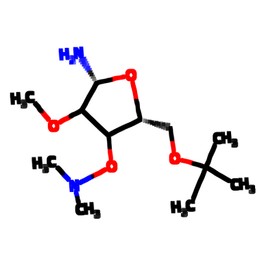 COC1C(ON(C)C)[C@@H](COC(C)(C)C)O[C@H]1N